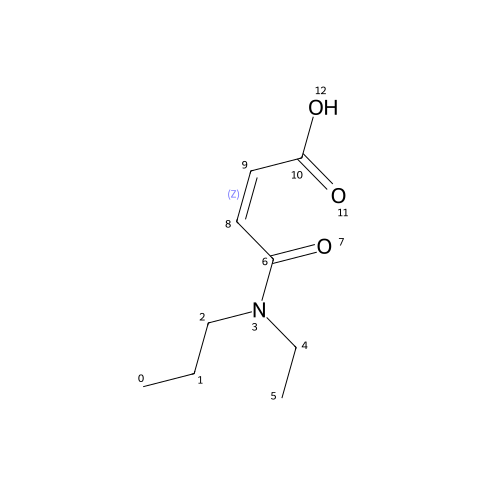 CCCN(CC)C(=O)/C=C\C(=O)O